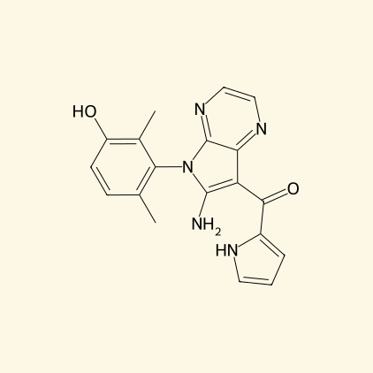 Cc1ccc(O)c(C)c1-n1c(N)c(C(=O)c2ccc[nH]2)c2nccnc21